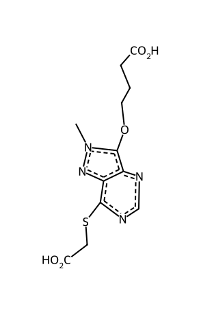 Cn1nc2c(SCC(=O)O)ncnc2c1OCCCC(=O)O